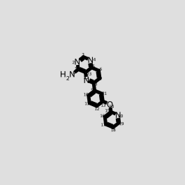 Nc1ncnc2ccc(-c3cccc(Oc4ccccn4)c3)nc12